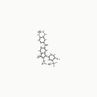 CC(C)(C#N)c1nc(-n2c3nc(Nc4ccc5c(c4)CCNC5)ncc3c(=O)n2C2CC2)ccc1F